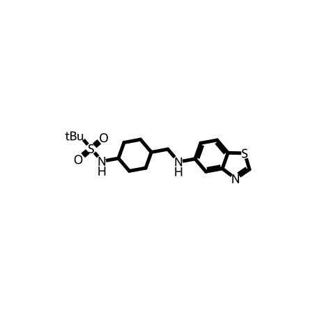 CC(C)(C)S(=O)(=O)NC1CCC(CNc2ccc3scnc3c2)CC1